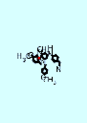 COc1ccc(CN(Cc2ccc(OC)cc2)c2cc(Nc3ccc(CC#N)cc3)cc3c2ncn3C)cc1